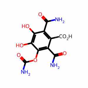 NC(=O)Oc1c(O)c(O)c(C(N)=O)c(C(=O)O)c1C(N)=O